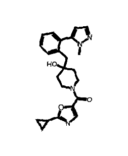 Cn1nccc1-c1ccccc1CC1(O)CCN(C(=O)c2cnc(C3CC3)o2)CC1